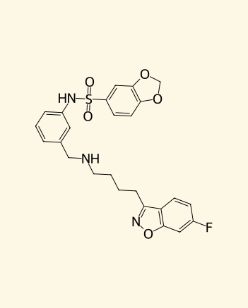 O=S(=O)(Nc1cccc(CNCCCCc2noc3cc(F)ccc23)c1)c1ccc2c(c1)OCO2